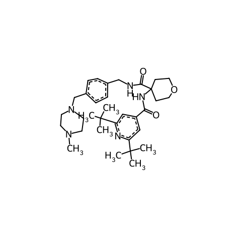 CN1CCN(Cc2ccc(CNC(=O)C3(NC(=O)c4cc(C(C)(C)C)nc(C(C)(C)C)c4)CCOCC3)cc2)CC1